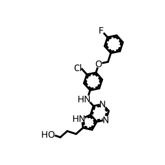 OCCCc1cc2ncnc(Nc3ccc(OCc4cccc(F)c4)c(Cl)c3)c2[nH]1